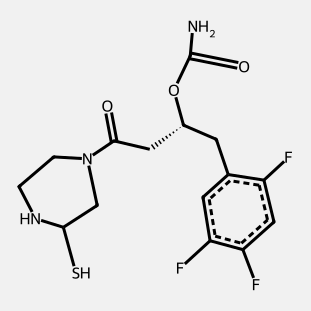 NC(=O)O[C@@H](CC(=O)N1CCNC(S)C1)Cc1cc(F)c(F)cc1F